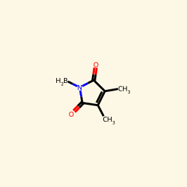 BN1C(=O)C(C)=C(C)C1=O